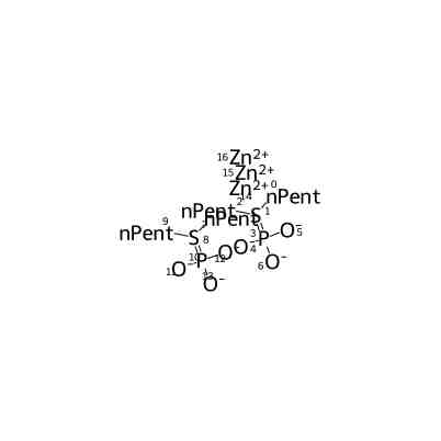 CCCCCS(CCCCC)=P([O-])([O-])[O-].CCCCCS(CCCCC)=P([O-])([O-])[O-].[Zn+2].[Zn+2].[Zn+2]